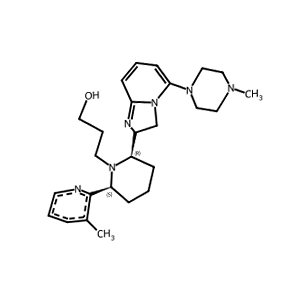 Cc1cccnc1[C@@H]1CCC[C@H](C2CN3C(N4CCN(C)CC4)=CC=CC3=N2)N1CCCO